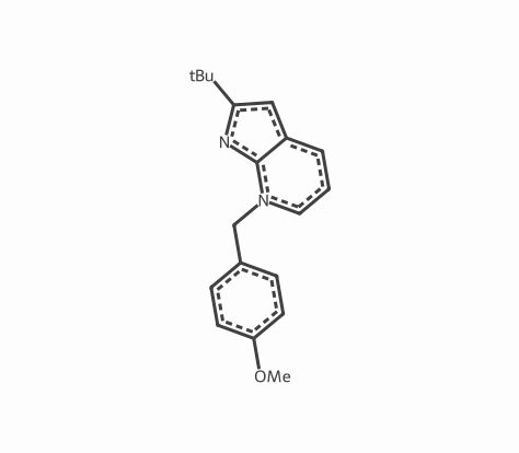 COc1ccc(Cn2cccc3cc(C(C)(C)C)nc2-3)cc1